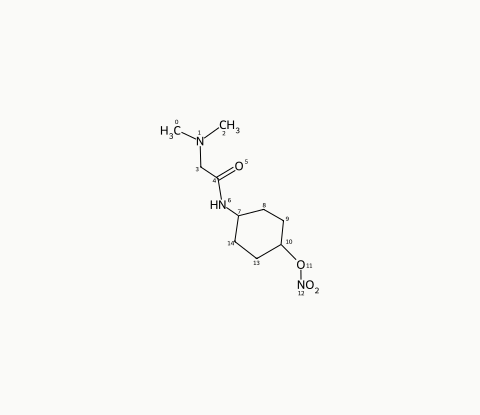 CN(C)CC(=O)NC1CCC(O[N+](=O)[O-])CC1